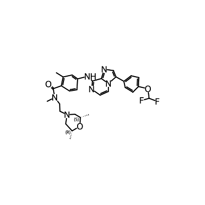 Cc1cc(Nc2nccn3c(-c4ccc(OC(F)F)cc4)cnc23)ccc1C(=O)N(C)CCN1C[C@@H](C)O[C@@H](C)C1